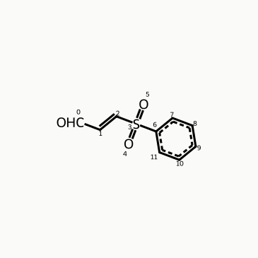 O=CC=CS(=O)(=O)c1ccccc1